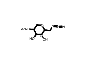 CC(=O)NC1COC(CN=[N+]=[N-])[C@@H](O)C1O